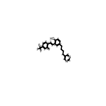 Oc1ccc(CCCCc2cncnc2)cc1/C=C/c1ccc(C(F)(F)F)cc1F